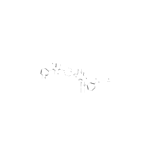 CC(=O)Nc1cccc(Nc2ncnc(N3CCC(c4nc(-c5cccnc5)no4)CC3)n2)c1